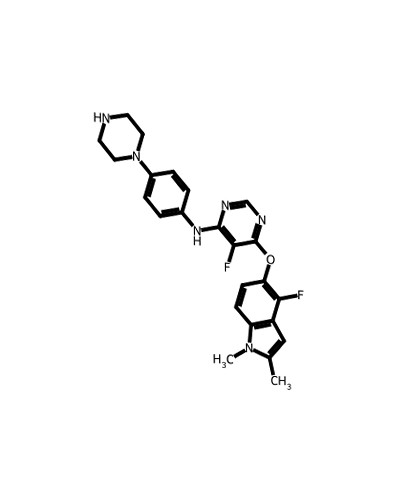 Cc1cc2c(F)c(Oc3ncnc(Nc4ccc(N5CCNCC5)cc4)c3F)ccc2n1C